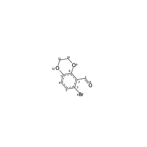 O=Cc1c(Br)ccc2c1OCCO2